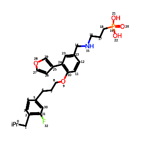 CC(C)Cc1ccc(CCCOc2ccc(CNCCCP(=O)(O)O)cc2-c2ccoc2)cc1F